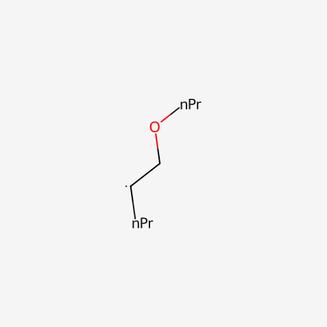 [CH2]CC[CH]COCCC